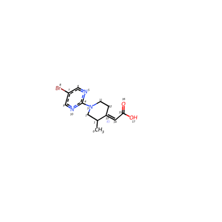 CC1CN(c2ncc(Br)cn2)CC/C1=C\C(=O)O